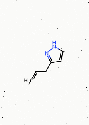 C=CCc1c[c][nH]n1